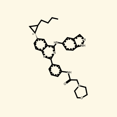 CCCCC1C[C@H]1c1ccc2nc(-c3cccc(NC(=O)CN4CCOCC4)c3)nc(Nc3ccc4[nH]ncc4c3)c2c1